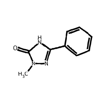 Cn1nc(-c2ccccc2)[nH]c1=O